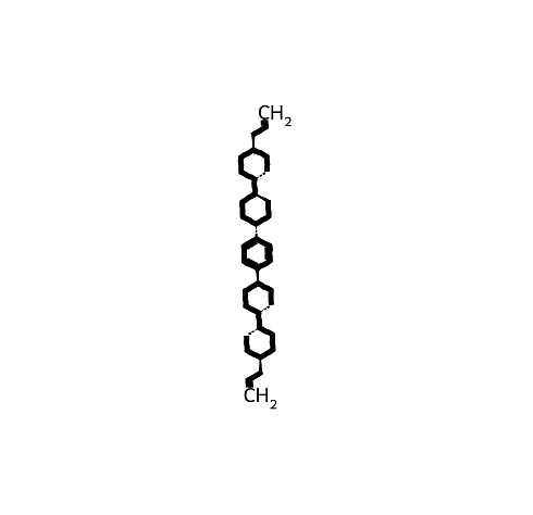 C=CC[C@H]1CC[C@H]([C@H]2CC[C@H](c3ccc([C@H]4CC[C@H]([C@H]5CC[C@H](CC=C)CC5)CC4)cc3)CC2)CC1